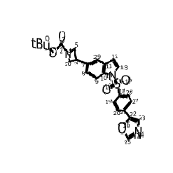 CC(C)(C)OC(=O)N1CC(c2ccc3c(ccn3S(=O)(=O)c3ccc(-c4cnco4)cc3)c2)C1